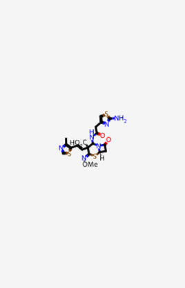 CON=C1S[C@@H]2CC(=O)N2C(NC(=O)Cc2csc(N)n2)C1(C=Cc1scnc1C)C(=O)O